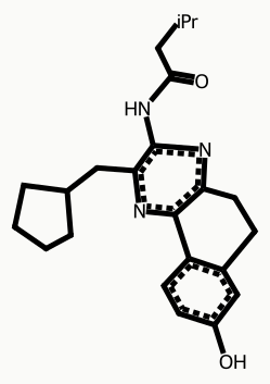 CC(C)CC(=O)Nc1nc2c(nc1CC1CCCC1)-c1ccc(O)cc1CC2